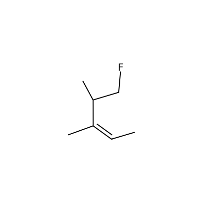 C/C=C(/C)C(C)CF